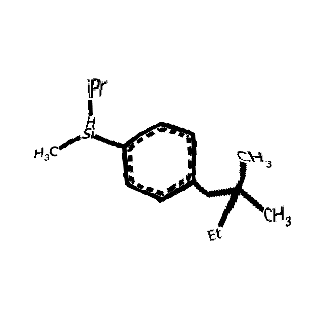 CCC(C)(C)c1ccc([SiH](C)C(C)C)cc1